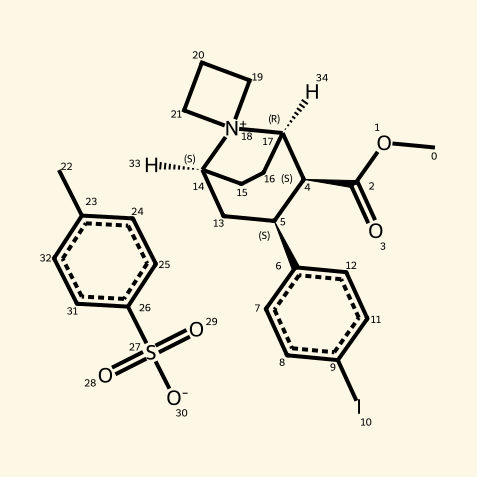 COC(=O)[C@H]1[C@@H](c2ccc(I)cc2)C[C@@H]2CC[C@H]1[N+]21CCC1.Cc1ccc(S(=O)(=O)[O-])cc1